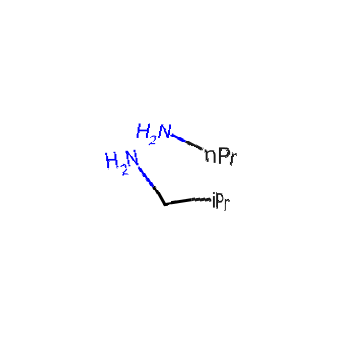 CC(C)CN.CCCN